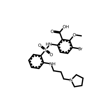 COc1c(Br)ccc(NS(=O)(=O)c2ccccc2NCCCN2CCCC2)c1C(=O)O